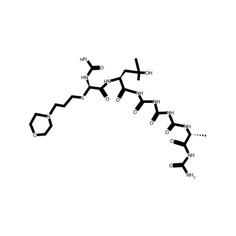 CCCC(=O)N[C@H](SCCCN1CCOCC1)C(=O)N[C@@H](CC(C)(C)O)C(=O)NC(=O)NC(=O)NC(=O)N[C@H](C)C(=O)NC(N)=O